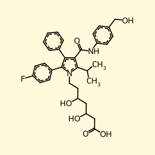 CC(C)c1c(C(=O)Nc2ccc(CO)cc2)c(-c2ccccc2)c(-c2ccc(F)cc2)n1CCC(O)CC(O)CC(=O)O